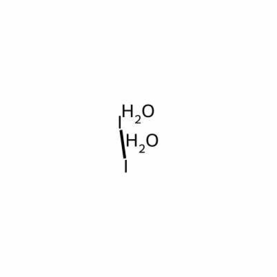 II.O.O